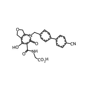 N#Cc1ccc(-c2ccc(Cn3c4c(c(O)c(C(=O)NCC(=O)O)c3=O)COC4)cc2)cc1